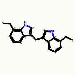 CCc1cccc2c(Cc3c[nH]c4c(CC)cccc34)c[nH]c12